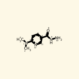 CN(C)c1ccc(C(=O)NN)cn1